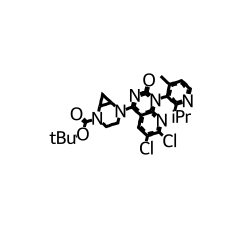 Cc1ccnc(C(C)C)c1-n1c(=O)nc(N2CCN(C(=O)OC(C)(C)C)C3CC32)c2cc(Cl)c(Cl)nc21